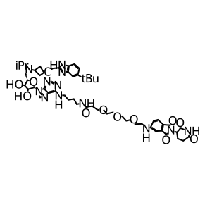 CC(C)N(C[C@H]1O[C@@H](n2cnc3c(NCCCCNC(=O)CCOCCOCCOCCNc4ccc5c(c4)C(=O)N(C4CCC(=O)NC4=O)C5=O)ncnc32)C(O)C1O)C1CC(CCc2nc3cc(C(C)(C)C)ccc3[nH]2)C1